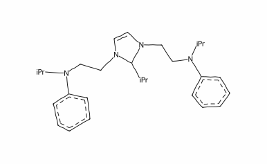 CC(C)C1N(CCN(c2ccccc2)C(C)C)C=CN1CCN(c1ccccc1)C(C)C